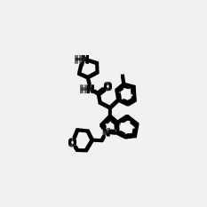 Cc1cccc(C(CC(=O)NC2CCNCC2)c2cn(CC3CCOCC3)c3ccccc23)c1